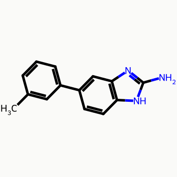 Cc1cccc(-c2ccc3[nH]c(N)nc3c2)c1